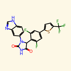 O=C1NC(=O)N(c2ccc3[nH]cnc3c2)C1c1c(F)cc(-c2ccc(C(F)(F)F)s2)cc1F